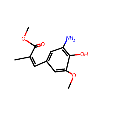 COC(=O)C(C)=Cc1cc(N)c(O)c(OC)c1